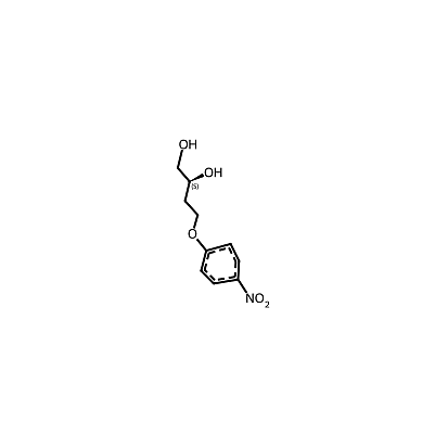 O=[N+]([O-])c1ccc(OCC[C@H](O)CO)cc1